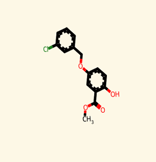 COC(=O)c1cc(OCc2cccc(Cl)c2)ccc1O